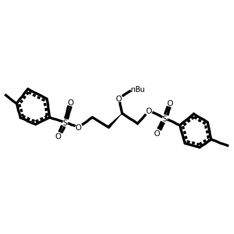 CCCCO[C@H](CCOS(=O)(=O)c1ccc(C)cc1)COS(=O)(=O)c1ccc(C)cc1